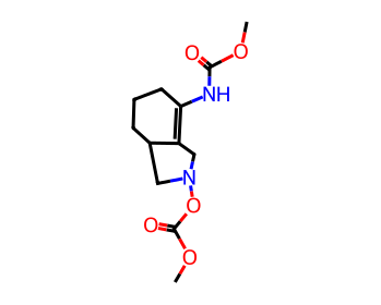 COC(=O)NC1=C2CN(OC(=O)OC)CC2CCC1